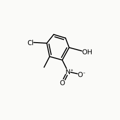 Cc1c(Cl)ccc(O)c1[N+](=O)[O-]